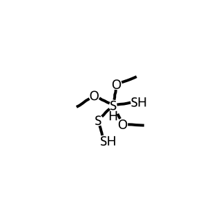 CO[SH](S)(OC)(OC)SS